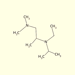 CCN(C(C)C)C(C)CN(C)C